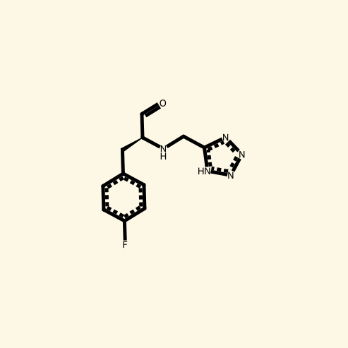 O=C[C@H](Cc1ccc(F)cc1)NCc1nnn[nH]1